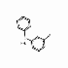 Fc1cccc(Oc2ccccc2)c1.N